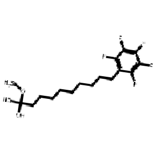 OC(O)(CCCCCCCCCc1c(F)c(F)c(F)c(F)c1F)O[SiH3]